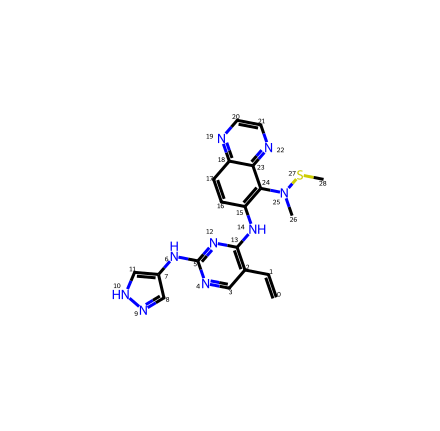 C=Cc1cnc(Nc2cn[nH]c2)nc1Nc1ccc2nccnc2c1N(C)SC